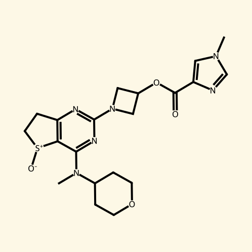 CN(c1nc(N2CC(OC(=O)c3cn(C)cn3)C2)nc2c1[S+]([O-])CC2)C1CCOCC1